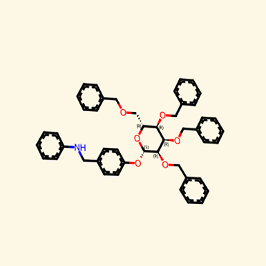 c1ccc(COC[C@H]2O[C@@H](Oc3ccc(CNc4ccccc4)cc3)[C@H](OCc3ccccc3)[C@H](OCc3ccccc3)[C@@H]2OCc2ccccc2)cc1